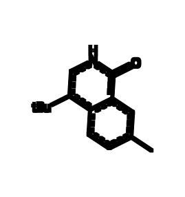 Cc1ccc2c(C(C)(C)C)c[nH]c(=O)c2c1